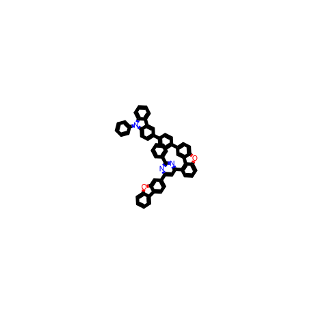 c1ccc(-c2nc(-c3ccc4c(c3)oc3ccccc34)cc(-c3cccc4oc5ccc(-c6ccc(-c7ccc8c(c7)c7ccccc7n8-c7ccccc7)cc6)cc5c34)n2)cc1